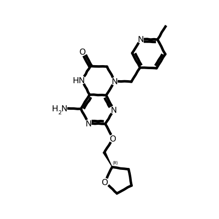 Cc1ccc(CN2CC(=O)Nc3c(N)nc(OC[C@H]4CCCO4)nc32)cn1